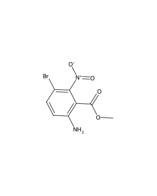 COC(=O)c1c(N)ccc(Br)c1[N+](=O)[O-]